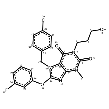 Cn1c(=O)n(CCCO)c(=O)c2c1nc(Oc1cccc(F)c1)n2Cc1ccc(Cl)cn1